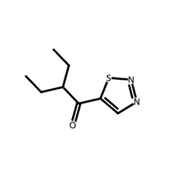 CCC(CC)C(=O)c1cnns1